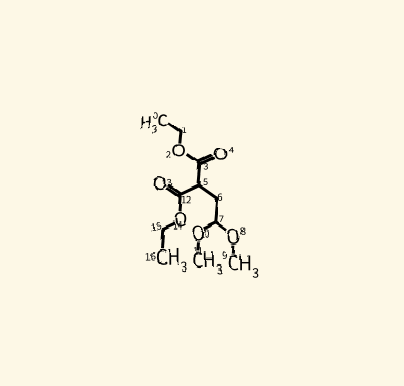 CCOC(=O)C(CC(OC)OC)C(=O)OCC